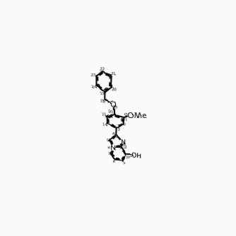 COc1cc(-c2cn3cccc(O)c3n2)ccc1OCc1ccccc1